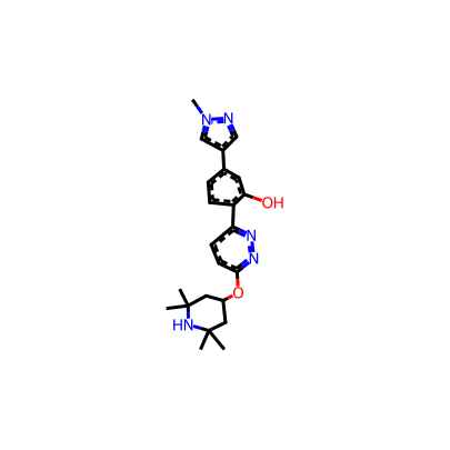 Cn1cc(-c2ccc(-c3ccc(OC4CC(C)(C)NC(C)(C)C4)nn3)c(O)c2)cn1